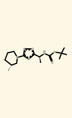 C[C@@H]1CCCN(c2noc([C@H](C)NC(=O)OC(C)(C)C)n2)C1